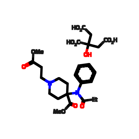 CCC(=O)N(c1ccccc1)C1(C(=O)OC)CCN(CCC(=O)OC)CC1.O=C(O)CC(O)(CC(=O)O)C(=O)O